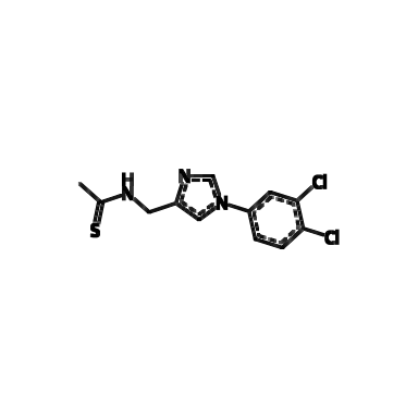 CC(=S)NCc1cn(-c2ccc(Cl)c(Cl)c2)cn1